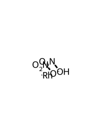 O=[N+]([O-])O.O=[N+]([O-])[O-].[Rh]